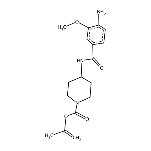 C=C(C)OC(=O)N1CCC(NC(=O)c2ccc(N)c(OC)c2)CC1